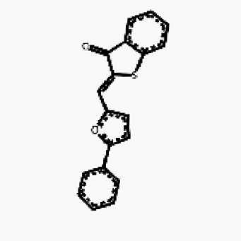 O=C1C(=Cc2ccc(-c3ccccc3)o2)Sc2ccccc21